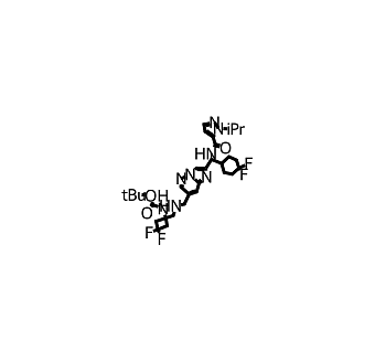 CC(C)n1nccc1C(=O)N[C@H](c1cn2ncc(CNCC3(NC(=O)OC(C)(C)C)CC(F)(F)C3)cc2n1)C1CCC(F)(F)CC1